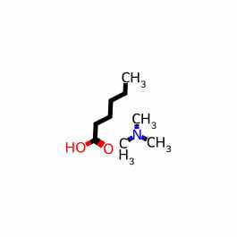 CCCCCC(=O)O.CN(C)C